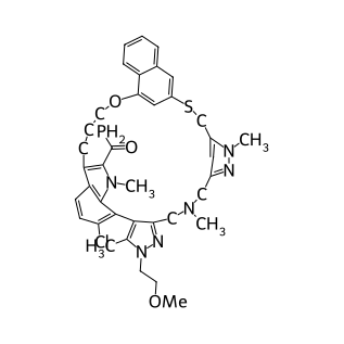 COCCn1nc2c(c1C)-c1c(Cl)ccc3c(c(C(=O)P)n(C)c13)CCCOc1cc(cc3ccccc13)SCc1cc(nn1C)CN(C)C2